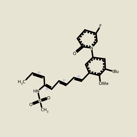 C\C=C/C(=C\C=C\C=C\c1cc(-n2cc(F)ccc2=O)cc(C(C)(C)C)c1OC)NS(C)(=O)=O